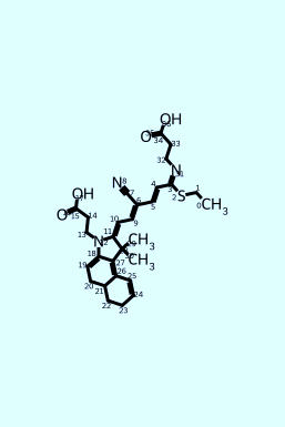 CCSC(/C=C/C(C#N)=C/C=C1/N(CCC(=O)O)C2=CCC3CCC=CC3=C2C1(C)C)=N/CCC(=O)O